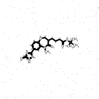 CN1C(=O)C(CCCC(=O)OC(C)(C)C)COc2ccc(-c3n[nH]c(=O)o3)cc21